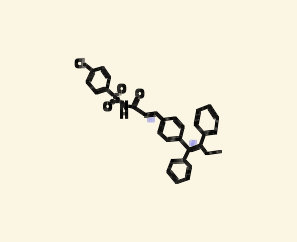 CC/C(=C(\c1ccccc1)c1ccc(/C=C/C(=O)NS(=O)(=O)c2ccc(Cl)cc2)cc1)c1ccccc1